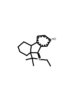 CCN=C1c2ccccc2C2CCCCC12C(C)(C)C.Cl